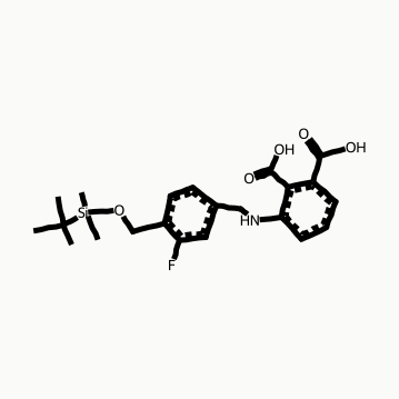 CC(C)(C)[Si](C)(C)OCc1ccc(CNc2cccc(C(=O)O)c2C(=O)O)cc1F